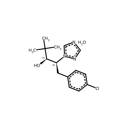 CC(C)(C)[C@H](O)[C@H](Cc1ccc(Cl)cc1)n1cncn1.O